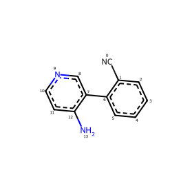 N#Cc1ccccc1-c1cnccc1N